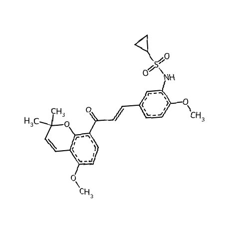 COc1ccc(/C=C/C(=O)c2ccc(OC)c3c2OC(C)(C)C=C3)cc1NS(=O)(=O)C1CC1